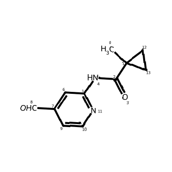 CC1(C(=O)Nc2cc(C=O)ccn2)CC1